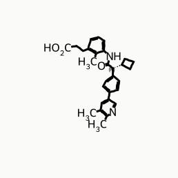 Cc1cc(-c2ccc([C@H](C(=O)Nc3cccc(CCC(=O)O)c3C)C3CCC3)cc2)cnc1C